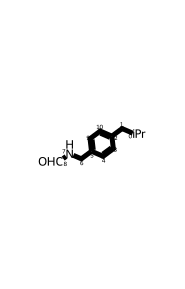 CC(C)Cc1ccc(CNC=O)cc1